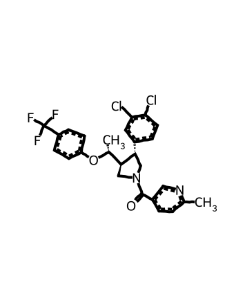 Cc1ccc(C(=O)N2C[C@@H]([C@@H](C)Oc3ccc(C(F)(F)F)cc3)[C@H](c3ccc(Cl)c(Cl)c3)C2)cn1